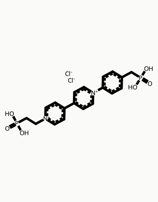 O=P(O)(O)CC[n+]1ccc(-c2cc[n+](-c3ccc(CP(=O)(O)O)cc3)cc2)cc1.[Cl-].[Cl-]